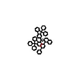 C1=CCCC(C2(C3=CC=CCC3)c3ccccc3-c3c(N(c4ccc5c(c4)C(c4ccccc4)(C4C=CCCC4)c4ccccc4-5)c4ccc5ccccc5c4-c4ccc(-c5ccccc5)cc4)cccc32)=C1